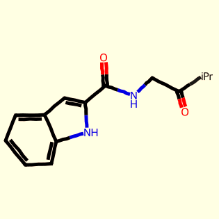 CC(C)C(=O)CNC(=O)c1cc2ccccc2[nH]1